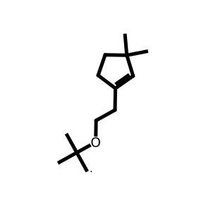 [CH2]C(C)(C)OCCC1=CC(C)(C)CC1